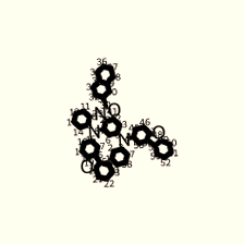 c1ccc(N(c2cc(N(c3ccccc3)c3ccc4oc5ccccc5c4c3)c3nc(-c4ccc5ccccc5c4)oc3c2)c2ccc3oc4ccccc4c3c2)cc1